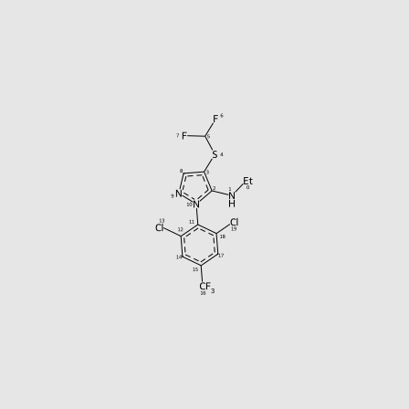 CCNc1c(SC(F)F)cnn1-c1c(Cl)cc(C(F)(F)F)cc1Cl